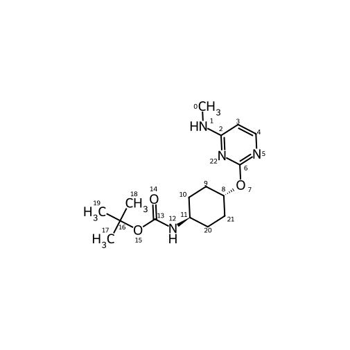 CNc1ccnc(O[C@H]2CC[C@H](NC(=O)OC(C)(C)C)CC2)n1